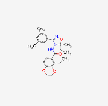 CCc1c(C(=O)NN2C(c3cc(C)cc(C)c3)=NOC2(C)CC)ccc2c1OCCO2